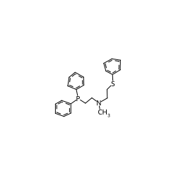 CN(CCSc1ccccc1)CCP(c1ccccc1)c1ccccc1